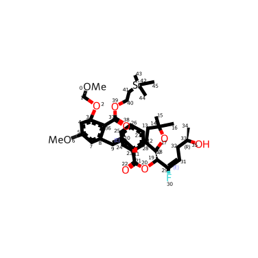 COCOc1cc(OC)cc(/C=C/C[C@@H]2CC(C)(C)O[C@@H]2C(OC(=O)c2ccccc2)/C(F)=C\C[C@@H](C)O)c1C(=O)OCC[Si](C)(C)C